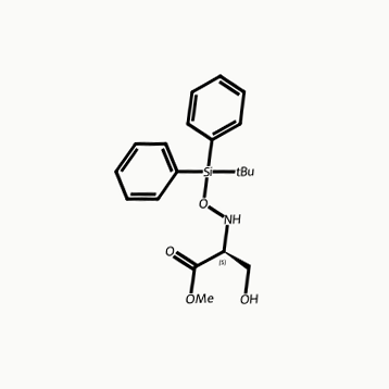 COC(=O)[C@H](CO)NO[Si](c1ccccc1)(c1ccccc1)C(C)(C)C